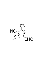 N#CC1=C(C#N)SC(C=O)S1.S